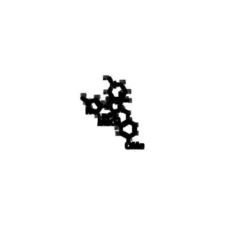 COc1ccc(CN([Si](C)(C)C(C)(C)C)S(=N)(=O)N(c2cnn(C)c2)C2CCCN(C)C2)c(OC)c1